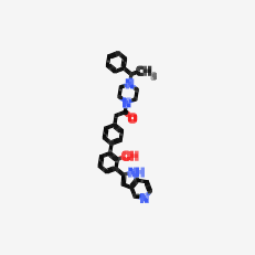 CC(c1ccccc1)N1CCN(C(=O)Cc2ccc(-c3cccc(-c4cc5cnccc5[nH]4)c3O)cc2)CC1